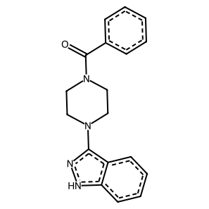 O=C(c1ccccc1)N1CCN(c2n[nH]c3ccccc23)CC1